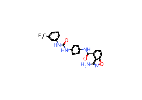 Nc1noc2cccc(C(=O)Nc3ccc(NC(=O)Nc4cccc(C(F)(F)F)c4)cc3)c12